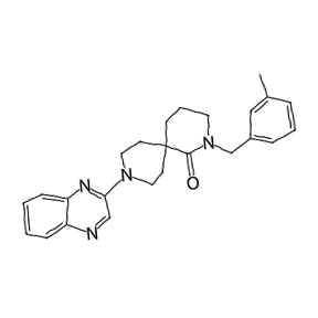 Cc1cccc(CN2CCCC3(CCN(c4cnc5ccccc5n4)CC3)C2=O)c1